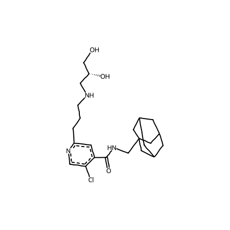 O=C(NCC12CC3CC(CC(C3)C1)C2)c1cc(CCCNC[C@@H](O)CO)ncc1Cl